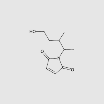 CC(CCO)C(C)N1C(=O)C=CC1=O